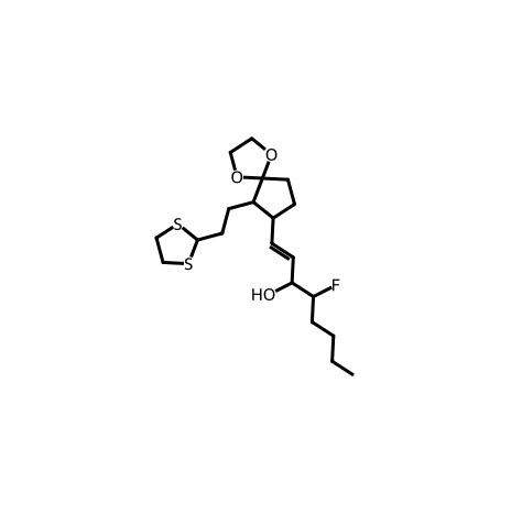 CCCCC(F)C(O)/C=C/C1CCC2(OCCO2)C1CCC1SCCS1